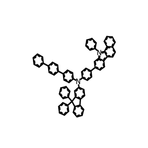 c1ccc(-c2ccc(-c3ccc(N(c4ccc(-c5ccc6c7ccc8ccccc8c7n(-c7ccccc7)c6c5)cc4)c4ccc5c(c4)C(c4ccccc4)(c4ccccc4)c4ccccc4-5)cc3)cc2)cc1